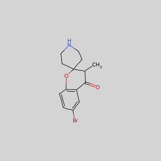 CC1C(=O)c2cc(Br)ccc2OC12CCNCC2